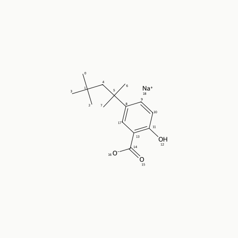 CC(C)(C)CC(C)(C)c1ccc(O)c(C(=O)[O-])c1.[Na+]